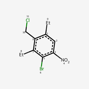 CCc1cc([N+](=O)[O-])c(Br)c(CC)c1CCl